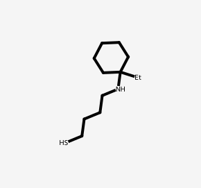 CCC1(NCCCCS)CCCCC1